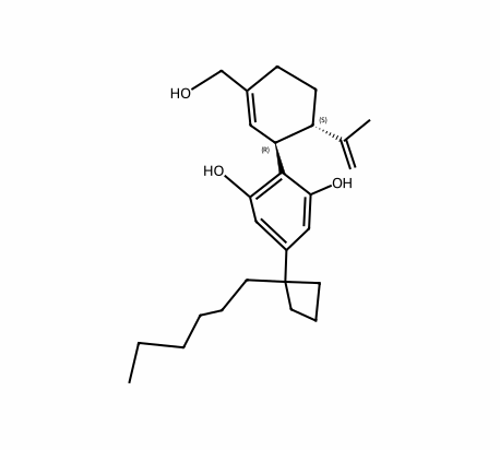 C=C(C)[C@H]1CCC(CO)=C[C@@H]1c1c(O)cc(C2(CCCCCC)CCC2)cc1O